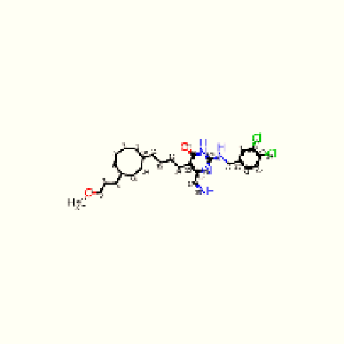 COCCCC1CCCCC(CCCCc2c(C=N)nc(NCc3ccc(Cl)c(Cl)c3)[nH]c2=O)CC1